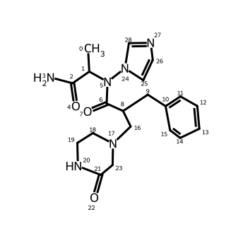 CC(C(N)=O)N(C(=O)C(Cc1ccccc1)CN1CCNC(=O)C1)n1ccnc1